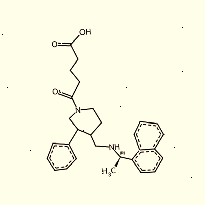 C[C@@H](NCC1CCN(C(=O)CCCC(=O)O)CC1c1ccccc1)c1cccc2ccccc12